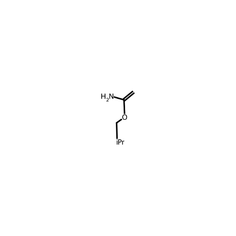 C=C(N)OCC(C)C